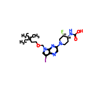 C[Si](C)(C)CCOCn1cc(I)c2ncc(N3CC[C@@H](NC(=O)O)[C@@H](F)C3)nc21